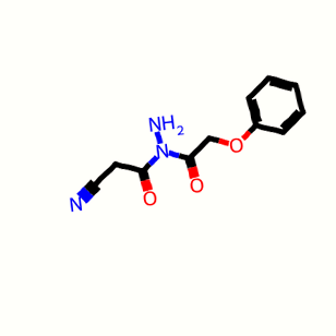 N#CCC(=O)N(N)C(=O)COc1ccccc1